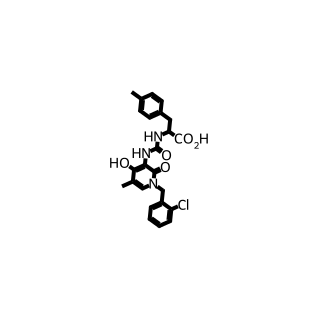 Cc1ccc(CC(NC(=O)Nc2c(O)c(C)cn(Cc3ccccc3Cl)c2=O)C(=O)O)cc1